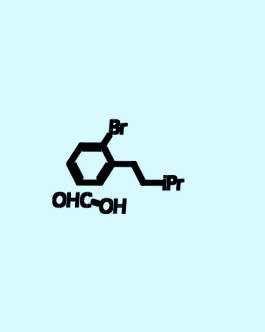 CC(C)CCc1ccccc1Br.O=CO